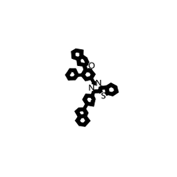 c1ccc(-c2cc(-c3nc(-c4ccc(-c5ccc6ccccc6c5)cc4)c4sc5ccccc5c4n3)cc3oc4cc5ccccc5cc4c23)cc1